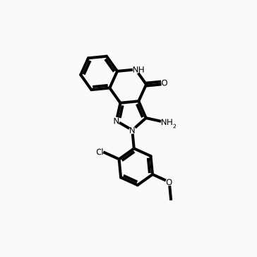 COc1ccc(Cl)c(-n2nc3c(c2N)c(=O)[nH]c2ccccc23)c1